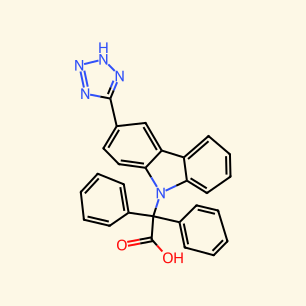 O=C(O)C(c1ccccc1)(c1ccccc1)n1c2ccccc2c2cc(-c3nn[nH]n3)ccc21